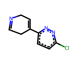 Clc1ccc(C2=CCN=CC2)nn1